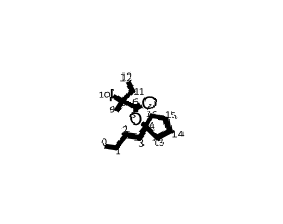 CCCCC1(OC(=O)C(C)(I)CC)CCCC1